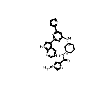 Cn1cnc(C(=O)N[C@H]2CCC[C@@H](Nc3cc(-c4ccco4)nc(-c4c[nH]c5ncncc45)n3)C2)c1